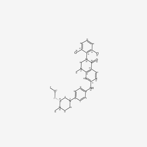 COC[C@@H]1CN(c2ccc(Nc3ncc4c(n3)N(C)CN(c3c(Cl)cccc3Cl)C4=O)cc2)CCN1C